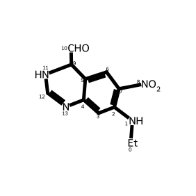 CCNc1cc2c(cc1[N+](=O)[O-])C(C=O)NC=N2